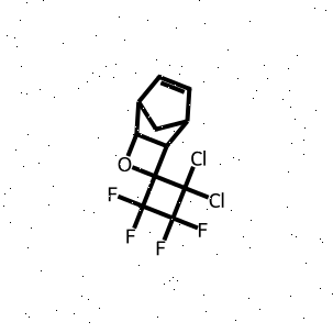 FC1(F)C(F)(F)C2(OC3C4C=CC(C4)C32)C1(Cl)Cl